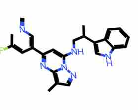 C=N/C=C(\C=C(/C)F)c1cc(NCC(C)c2c[nH]c3ccccc23)n2ncc(C)c2n1